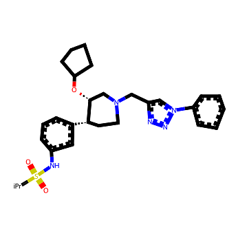 CC(C)S(=O)(=O)Nc1cccc([C@H]2CCN(Cc3cn(-c4ccccc4)nn3)C[C@H]2OC2CCCC2)c1